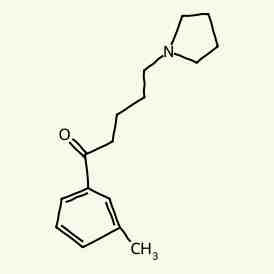 Cc1cccc(C(=O)CCCCN2CCCC2)c1